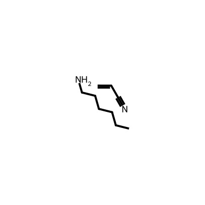 C=CC#N.CCCCCCN